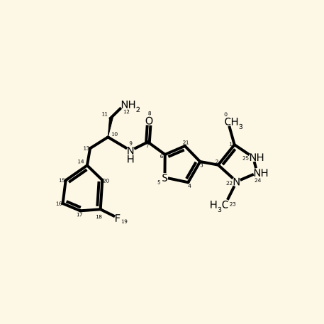 CC1=C(c2csc(C(=O)N[C@H](CN)Cc3cccc(F)c3)c2)N(C)NN1